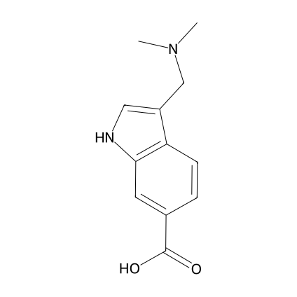 CN(C)Cc1c[nH]c2cc(C(=O)O)ccc12